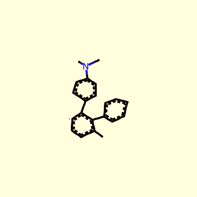 Cc1cc[c]c(-c2ccc(N(C)C)cc2)c1-c1ccccc1